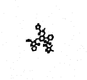 CCCCC1=NC2(CCCC2)C(=O)N1Cc1ccc(-c2ccccc2S(=O)(=O)Nc2noc(C)c2C)c(CN(C)C(=O)c2ccsc2)c1